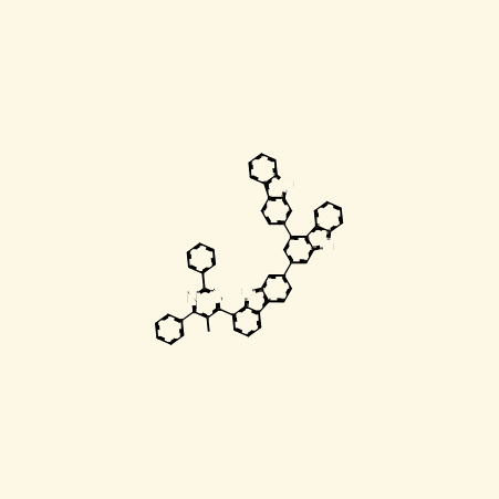 Cc1c(-c2ccccc2)nc(-c2ccccc2)nc1-c1cccc2c1oc1cc(-c3cc(-c4ccc5c(c4)oc4ccccc45)c4c(c3)oc3ccccc34)ccc12